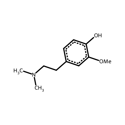 COc1cc(CCN(C)C)ccc1O